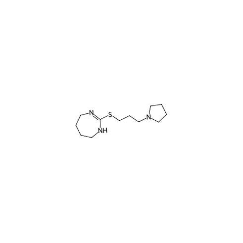 C1CCNC(SCCCN2CCCC2)=NC1